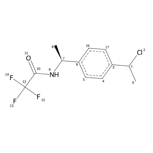 CC(Cl)c1ccc([C@H](C)NC(=O)C(F)(F)F)cc1